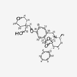 C[C@H]1CC[C@H](c2ccccc2)S(=O)(=O)N1Cc1ccc(OCC2(CO)CCOCC2)cc1F